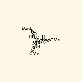 COCCOCC(=O)NCCn1c(=O)n(CCNC(=O)COCCOC)c(=O)n(CCNC(=O)COCCOC)c1=O